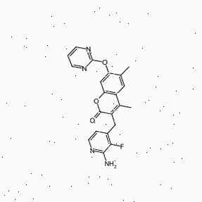 Cc1cc2c(C)c(Cc3ccnc(N)c3F)c(=O)oc2cc1Oc1ncccn1